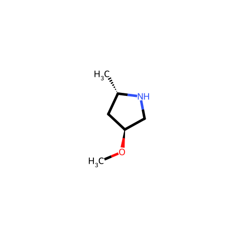 CO[C@@H]1CN[C@@H](C)C1